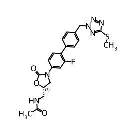 CSc1nnn(Cc2ccc(-c3ccc(N4C[C@H](CNC(C)=O)OC4=O)cc3F)cc2)n1